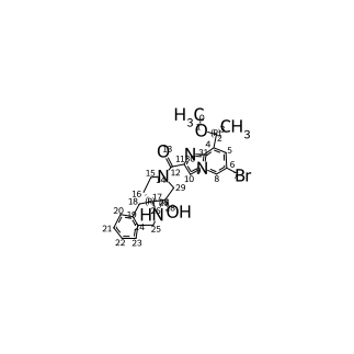 CO[C@H](C)c1cc(Br)cn2cc(C(=O)N3CC[C@]4(Cc5ccccc5CN4)[C@H](O)C3)nc12